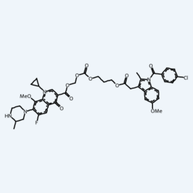 COc1ccc2c(c1)c(CC(=O)OCCCOC(=O)OCOC(=O)c1cn(C3CC3)c3c(OC)c(N4CCNC(C)C4)c(F)cc3c1=O)c(C)n2C(=O)c1ccc(Cl)cc1